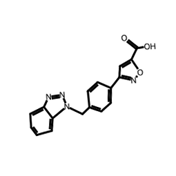 O=C(O)c1cc(-c2ccc(Cn3nnc4ccccc43)cc2)no1